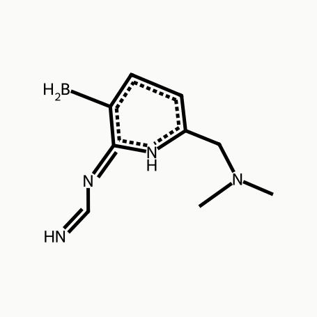 Bc1ccc(CN(C)C)[nH]/c1=N\C=N